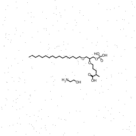 CCCCCCCCCCCCCCCCOCC(COP(=O)(O)O)OCCCC(C)C(=O)O.NCCO